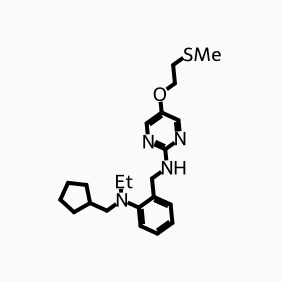 CCN(CC1CCCC1)c1ccccc1CNc1ncc(OCCSC)cn1